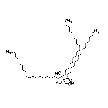 CCCCCCCC/C=C\CCCCCCCCC(O)(CCCCCCCC/C=C\CCCCCCCC)C(O)(CO)C(=O)CCCCCCCCCCCCCCC